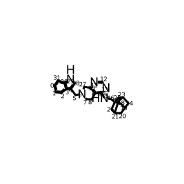 c1ccc2c(CN3CCc4c(ncnc4NCC45CC6CC(CC(C6)C4)C5)C3)c[nH]c2c1